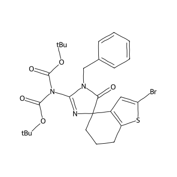 CC(C)(C)OC(=O)N(C(=O)OC(C)(C)C)C1=NC2(CCCc3sc(Br)cc32)C(=O)N1Cc1ccccc1